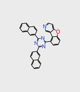 c1ccc2cc(-c3nc(-c4ccc5ccccc5c4)nc(-c4cccc5oc6ccncc6c45)n3)ccc2c1